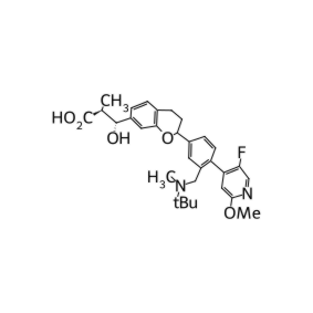 COc1cc(-c2ccc(C3CCc4ccc([C@H](O)[C@H](C)C(=O)O)cc4O3)cc2CN(C)C(C)(C)C)c(F)cn1